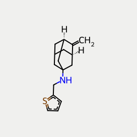 C=C1[C@@H]2CC3C[C@@H]1CC(NCc1cccs1)(C3)C2